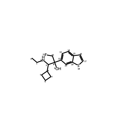 CCNC(C1CCC1)C(O)(CF)c1ccc2ccsc2c1